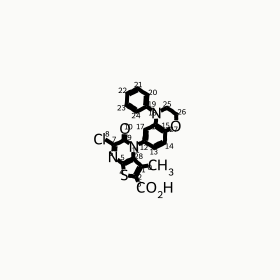 Cc1c(C(=O)O)sc2nc(Cl)c(=O)n(-c3ccc4c(c3)N(c3ccccc3)CCO4)c12